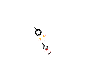 Cc1ccc(S(=O)(=O)OCC2CC3(C2)OCCO3)cc1